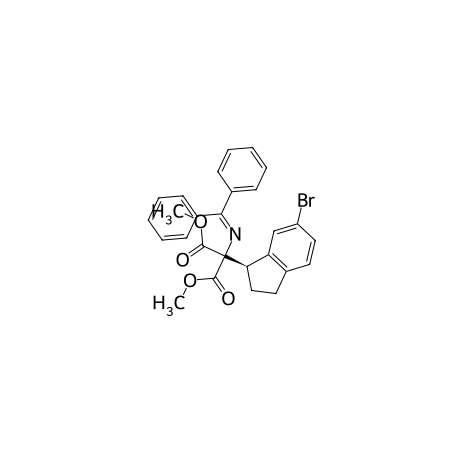 COC(=O)C(N=C(c1ccccc1)c1ccccc1)(C(=O)OC)[C@@H]1CCc2ccc(Br)cc21